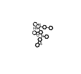 C1=CC2=NC(c3ccc(-c4ccccc4)cc3)=C(c3ccc(N(c4ccccc4)c4ccc5c(c4)sc4ccccc45)c4oc5c(c34)=CCCC=5)NC2C=C1